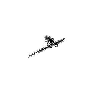 CCCCCCCCCCCCCCCCCC(=O)O[C@H](COC(=O)CCCCCCC)COP(=O)(O)OCC[N+](C)(C)C